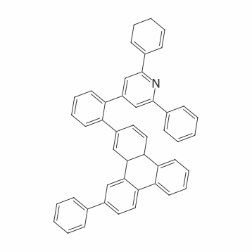 C1=CC(c2cc(-c3ccccc3C3=CC4c5cc(-c6ccccc6)ccc5-c5ccccc5C4C=C3)cc(-c3ccccc3)n2)=CCC1